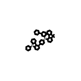 CC1(C)c2ccccc2-c2c(N(c3ccc(-c4cccc5c4c4ccccc4n5-c4ccccc4)cc3)c3cccc(-c4ccccc4)c3)cccc21